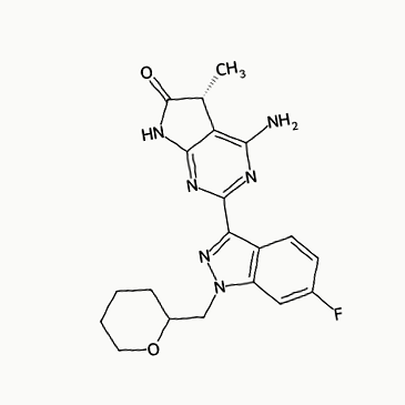 C[C@H]1C(=O)Nc2nc(-c3nn(CC4CCCCO4)c4cc(F)ccc34)nc(N)c21